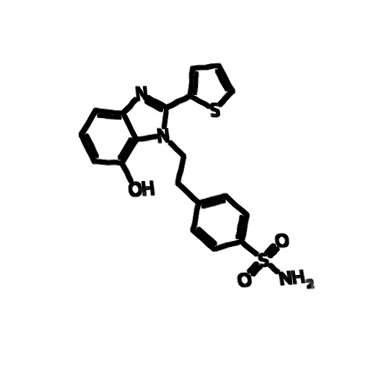 NS(=O)(=O)c1ccc(CCn2c(-c3cccs3)nc3cccc(O)c32)cc1